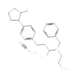 CC#N.CCCN(Cc1ccccc1)C(C)CCc1ccc(C2CCCC2F)cc1